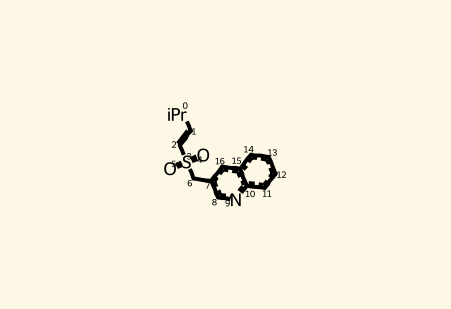 CC(C)C=CS(=O)(=O)Cc1cnc2ccccc2c1